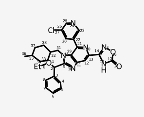 CCOC(c1ccccc1)c1nc2cc(-c3noc(=O)[nH]3)nc(-c3cncc(Cl)c3)c2n1CC1CCC(C)CC1